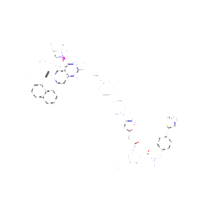 Cc1ncsc1-c1ccc([C@H](C)NC(=O)[C@@H]2C[C@@H](O)CN2C(=O)[C@@H](c2cc(N3CCC(C4CCN(CCOc5nc(N6CC7CCC(C6)N7C(=O)OC(C)(C)C)c6cnc(-c7cc(O)cc8ccc(F)c(C#C[Si](C(C)C)(C(C)C)C(C)C)c78)c(F)c6n5)CC4)CC3)no2)C(C)C)cc1